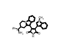 CC(C)[C@H](N)C1CCn2c(c(C3=C(c4cn(C)c5ccccc45)C(=O)NC3=O)c3ccccc32)C1